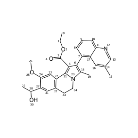 CCOC(=O)c1c(-c2cccc3ncc(C)cc23)c(C)n2c1-c1cc(OC)c(C(C)O)cc1CC2